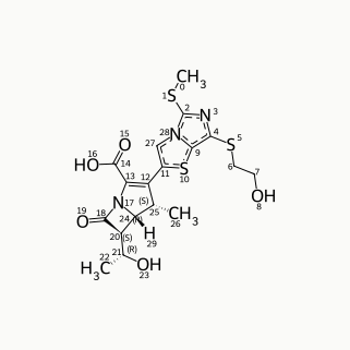 CSc1nc(SCCO)c2sc(C3=C(C(=O)O)N4C(=O)[C@H]([C@@H](C)O)[C@H]4[C@H]3C)cn12